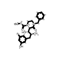 C[C@@H](Cc1cc(O)cc(F)c1)[C@H](O)[C@H]1C(=O)N(Cc2ccccc2)CCN1C(=O)OC(C)(C)C